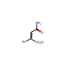 CCOC(=O)/C(=C\C(N)=O)C(C)C